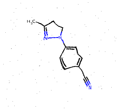 CC1=NN(c2ccc(C#N)cc2)CC1